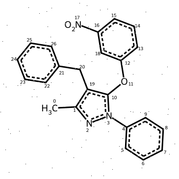 Cc1nn(-c2ccccc2)c(Oc2cccc([N+](=O)[O-])c2)c1Cc1ccccc1